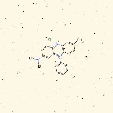 CCN(CC)c1ccc2nc3cc(C)ccc3[n+](-c3ccccc3)c2c1.[Cl-]